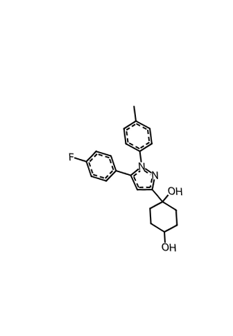 Cc1ccc(-n2nc(C3(O)CCC(O)CC3)cc2-c2ccc(F)cc2)cc1